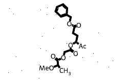 COC(C)C(=O)OCC(=O)OC(CCC(=O)OCc1ccccc1)C(C)=O